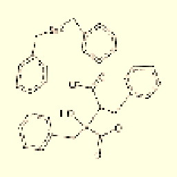 O=C([O-])C(Cc1ccccc1)C(O)(Cc1ccccc1)C(=O)[O-].c1ccc([CH2][Sn+2][CH2]c2ccccc2)cc1